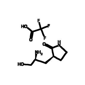 N[C@H](CO)C[C@@H]1CCNC1=O.O=C(O)C(F)(F)F